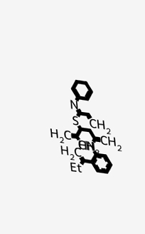 C=C/C(=N\C1=CCCC=C1)SC(CC(=C)Nc1ccccc1C(=C)CC)C(=C)C